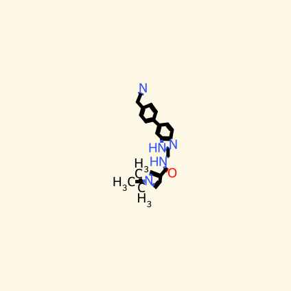 CC(C)(C)n1ccc(C(=O)NCc2nc3ccc(-c4ccc(CC#N)cc4)cc3[nH]2)c1